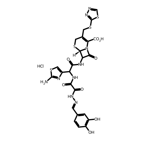 Cl.Nc1nc(C(NC(=O)C(=O)NN=Cc2ccc(O)c(O)c2)C(=O)NC2C(=O)N3C(C(=O)O)=C(CSc4nncs4)CS[C@@H]23)cs1